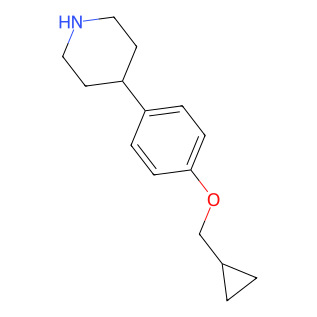 c1cc(C2CCNCC2)ccc1OCC1CC1